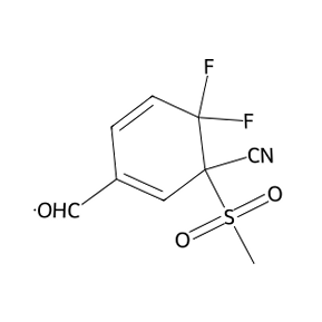 CS(=O)(=O)C1(C#N)C=C([C]=O)C=CC1(F)F